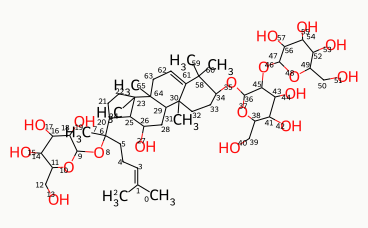 CC(C)=CCCC(C)(OC1OC(CO)C(O)C(O)C1O)C1CCC2(C)C1C(O)CC1C3(C)CCC(OC4OC(CO)C(O)C(O)C4OC4OC(CO)C(O)C(O)C4O)C(C)(C)C3=CCC12C